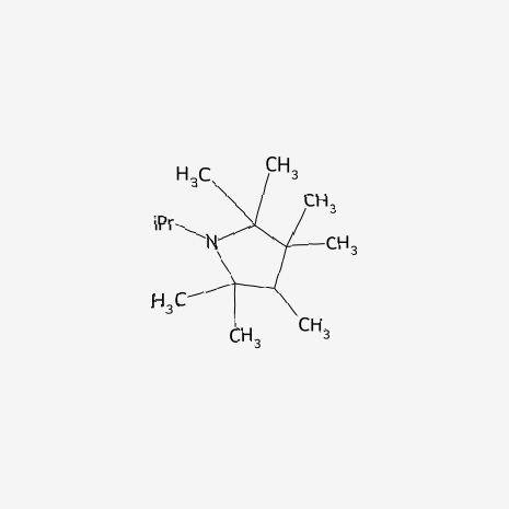 CC(C)N1C(C)(C)C(C)C(C)(C)C1(C)C